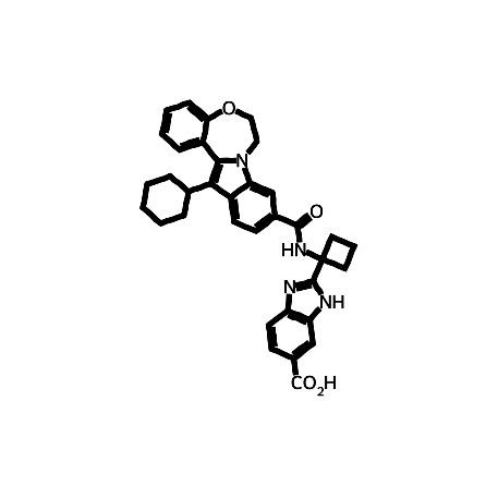 O=C(O)c1ccc2nc(C3(NC(=O)c4ccc5c(C6CCCCC6)c6n(c5c4)CCOc4ccccc4-6)CCC3)[nH]c2c1